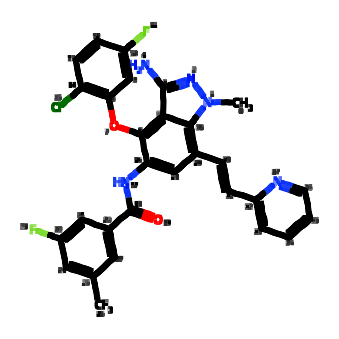 Cn1nc(N)c2c(Oc3cc(F)ccc3Cl)c(NC(=O)c3cc(F)cc(C(F)(F)F)c3)cc(C=Cc3ccccn3)c21